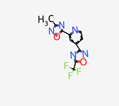 Cc1noc(-c2cc(-c3noc(C(F)(F)F)n3)ccn2)n1